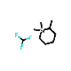 CC1CCCC[Si]1(C)C.FC(F)F